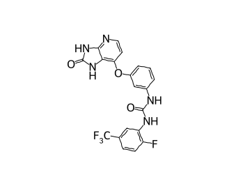 O=C(Nc1cccc(Oc2ccnc3[nH]c(=O)[nH]c23)c1)Nc1cc(C(F)(F)F)ccc1F